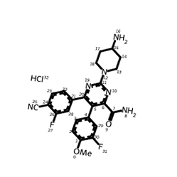 COc1ccc(-c2c(C(N)=O)nc(N3CCC(N)CC3)nc2-c2ccc(C#N)c(F)c2)cc1F.Cl